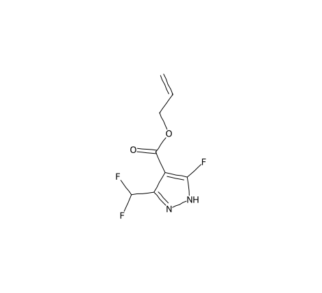 C=CCOC(=O)c1c(C(F)F)n[nH]c1F